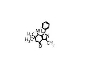 Cc1nn(-c2ccccc2)c2c1C(=O)CC(C)(C)C2N